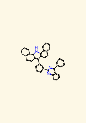 C1=CC2=C(C=CC3=C(c4cccc(-c5nc(-c6ccccc6)c6ccccc6n5)c4)c4ccc5ccccc5c4NC23)CC1